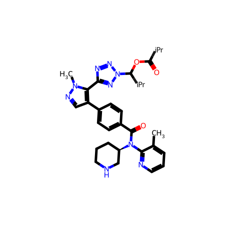 Cc1cccnc1N(C(=O)c1ccc(-c2cnn(C)c2-c2nnn(C(OC(=O)C(C)C)C(C)C)n2)cc1)[C@@H]1CCCNC1